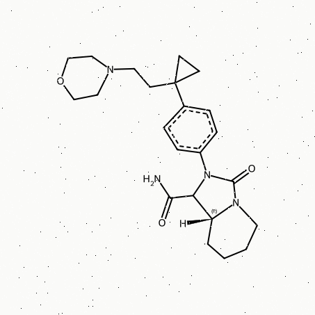 NC(=O)C1[C@H]2[CH]CCCN2C(=O)N1c1ccc(C2(CCN3CCOCC3)CC2)cc1